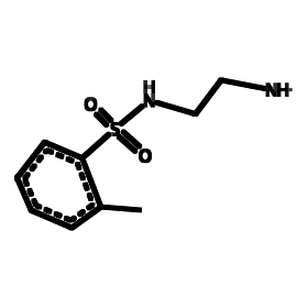 Cc1ccccc1S(=O)(=O)NCC[NH]